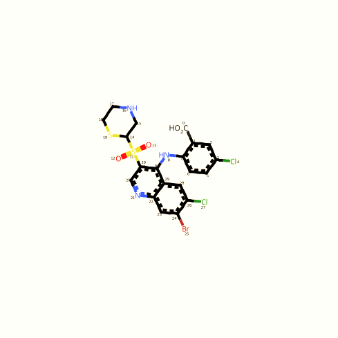 O=C(O)c1cc(Cl)ccc1Nc1c(S(=O)(=O)C2CNCCS2)cnc2cc(Br)c(Cl)cc12